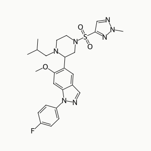 COc1cc2c(cnn2-c2ccc(F)cc2)cc1C1CN(S(=O)(=O)c2cnn(C)n2)CCN1CC(C)C